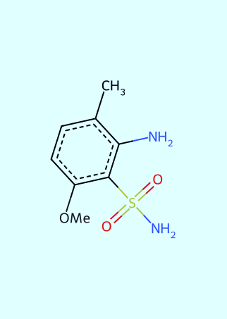 COc1ccc(C)c(N)c1S(N)(=O)=O